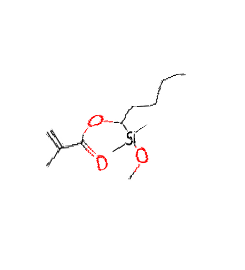 C=C(C)C(=O)OC(CCCC)[Si](C)(C)OC